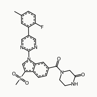 Cc1ccc(F)c(-c2cnc(-n3cc(S(C)(=O)=O)c4ccc(C(=O)N5CCNC(=O)C5)cc43)nc2)c1